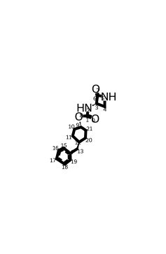 O=C(N[C@H]1CNC1=O)O[C@H]1CC[C@H](Cc2ccccc2)CC1